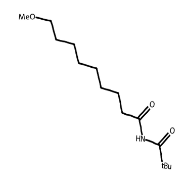 COCCCCCCCCC(=O)NC(=O)C(C)(C)C